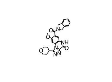 COc1cc2c(cc1C(=O)N1Cc3ccccc3C1)[nH]c(=O)c1nnc(C3CCOCC3)n12